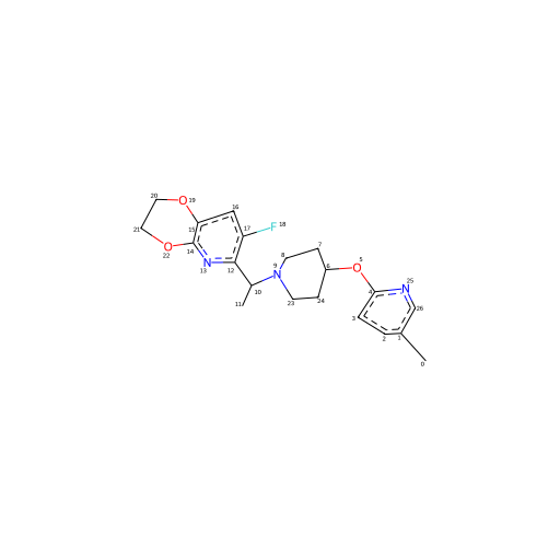 Cc1ccc(OC2CCN(C(C)c3nc4c(cc3F)OCCO4)CC2)nc1